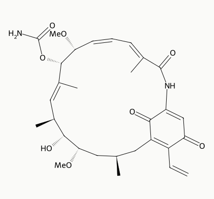 C=CC1=C2C[C@@H](C)C[C@H](OC)[C@H](O)[C@@H](C)/C=C(\C)[C@H](OC(N)=O)[C@H](OC)/C=C\C=C(/C)C(=O)NC(=CC1=O)C2=O